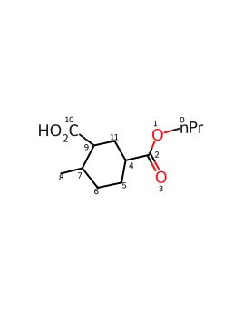 CCCOC(=O)C1CCC(C)C(C(=O)O)C1